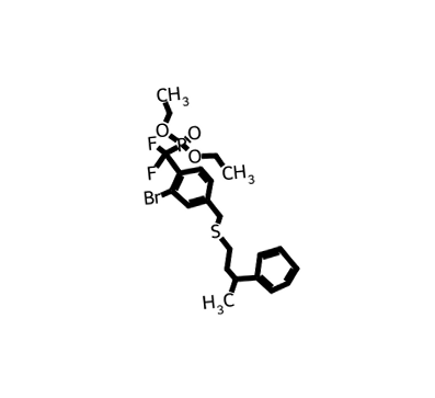 CCOP(=O)(OCC)C(F)(F)c1ccc(CSCCC(C)c2ccccc2)cc1Br